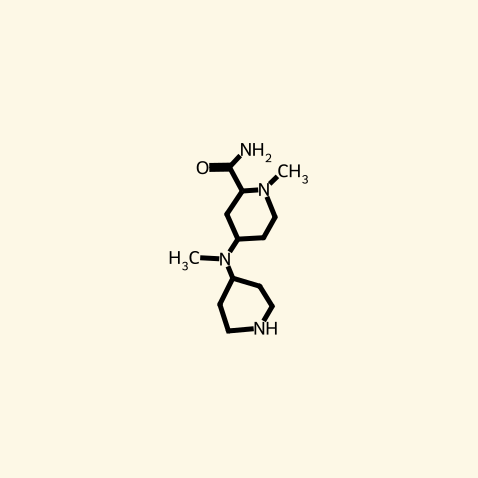 CN1CCC(N(C)C2CCNCC2)CC1C(N)=O